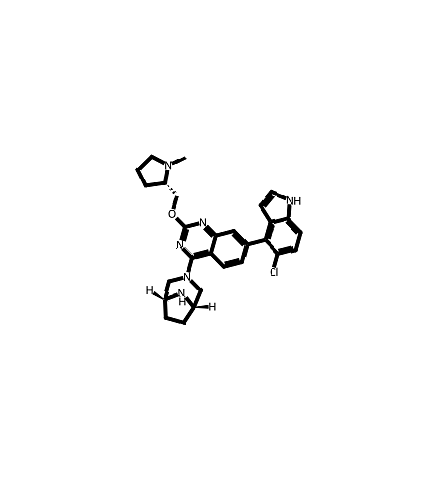 CN1CCC[C@H]1COc1nc(N2C[C@H]3CC[C@@H](C2)N3)c2ccc(-c3c(Cl)ccc4[nH]ccc34)cc2n1